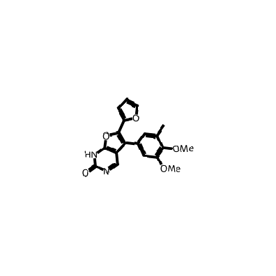 COc1cc(-c2c(-c3ccco3)oc3[nH]c(=O)ncc23)cc(C)c1OC